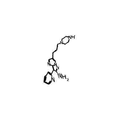 Nc1nn2cc(CCCN3CCNCC3)cnc2c1-c1ccccn1